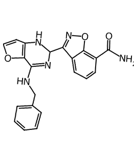 NC(=O)c1cccc2c(C3N=C(NCc4ccccc4)c4occc4N3)noc12